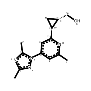 Cc1cc(-n2nc(C)nc2C)cc([C@H]2C[C@@H]2CO)n1